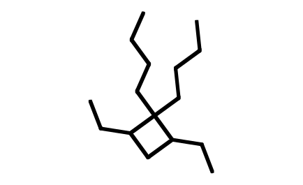 CCCCC1(CCCC)C(CC)CC1CC